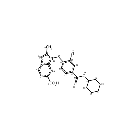 Cc1nc2ccc(C(=O)O)nc2n1Cc1ccc(C(=O)OC2CCCCC2)cc1Cl